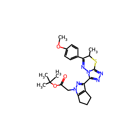 COc1ccc(C2=Nn3c(nnc3-c3nn(CC(=O)OC(C)(C)C)c4c3CCC4)SC2C)cc1